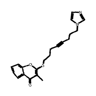 Cc1c(SCCCC#CCCCn2ccnc2)oc2ccccc2c1=O